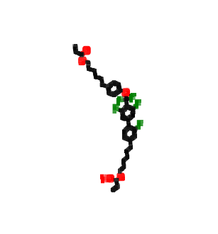 C=CC(=O)OCCCCCCc1ccc(OC(F)(F)c2c(F)cc(-c3ccc(CCCCCCOC(O)C=C)cc3F)cc2F)cc1